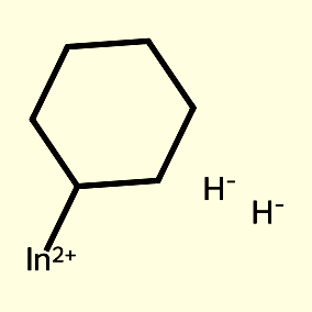 [H-].[H-].[In+2][CH]1CCCCC1